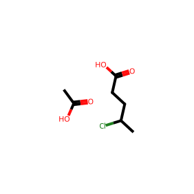 CC(=O)O.CC(Cl)CCC(=O)O